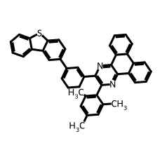 Cc1cc(C)c(-c2nc3c4ccccc4c4ccccc4c3nc2C2=CC(c3ccc4sc5ccccc5c4c3)=CCC2)c(C)c1